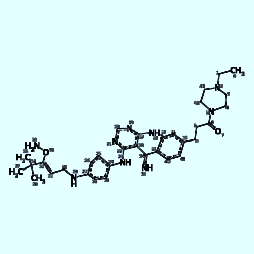 CCN1CCN(C(=O)CCc2ccc(C(=N)c3c(N)ncnc3Nc3ccc(NC/C=C(\ON)C(C)(C)C)cc3)cc2)CC1